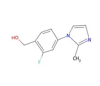 Cc1nccn1-c1ccc(CO)c(F)c1